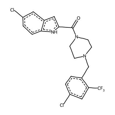 O=C(c1cc2cc(Cl)ccc2[nH]1)N1CCN(Cc2ccc(Cl)cc2C(F)(F)F)CC1